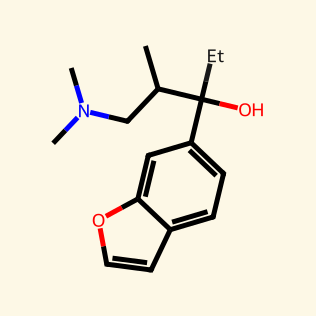 CCC(O)(c1ccc2ccoc2c1)C(C)CN(C)C